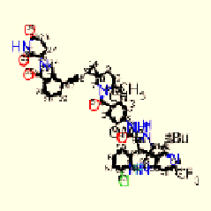 COc1cc(C(=O)N2C[C@]3(CCC2(C)C)C[C@H]3C#Cc2cccc3c2CN(C2CCC(=O)NC2=O)C3=O)ccc1NC(=O)[C@@H]1N[C@@H](CC(C)(C)C)[C@@]2(CNc3cc(C(F)(F)F)ncc32)[C@H]1c1cccc(Cl)c1F